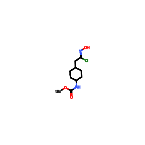 CC(C)(C)OC(=O)NC1CCC(CC(Cl)=NO)CC1